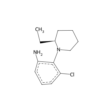 CC[C@H]1CCCCN1c1c(N)cccc1Cl